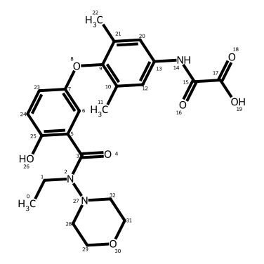 CCN(C(=O)c1cc(Oc2c(C)cc(NC(=O)C(=O)O)cc2C)ccc1O)N1CCOCC1